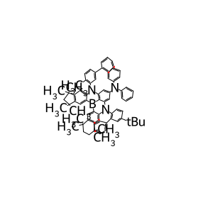 Cc1ccc(-c2ccccc2)cc1N1c2cc3c(cc2B2c4cc5c(cc4N(c4ccc(C(C)(C)C)cc4-c4ccccc4)c4cc(N(c6ccccc6)c6ccccc6)cc1c42)C(C)(C)CCC5(C)C)C(C)(C)CC3(C)C